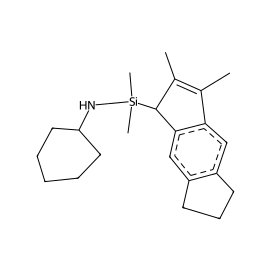 CC1=C(C)C([Si](C)(C)NC2CCCCC2)c2cc3c(cc21)CCC3